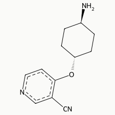 N#Cc1cnccc1O[C@H]1CC[C@H](N)CC1